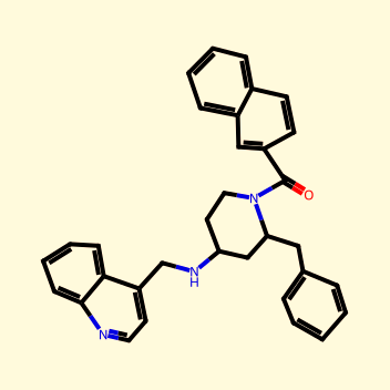 O=C(c1ccc2ccccc2c1)N1CCC(NCc2ccnc3ccccc23)CC1Cc1ccccc1